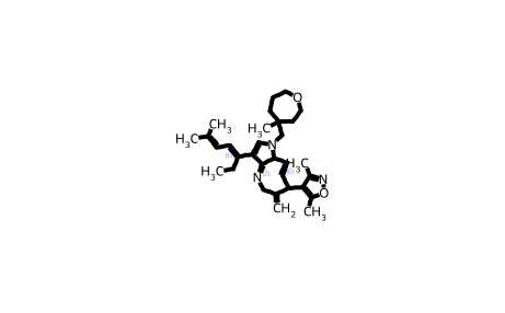 C=C1C/N=C2/C(/C(=C/C=C(C)C)CC)=CN(CC3(C)CCCOCC3)C2/C=C/C1c1c(C)noc1C